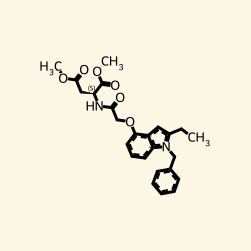 CCc1cc2c(OCC(=O)N[C@@H](CC(=O)OC)C(=O)OC)cccc2n1Cc1ccccc1